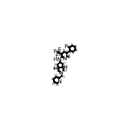 Fc1ccccc1-c1cc(C(F)(F)F)c(NC2C[C@@H]3CN(Cc4ccccn4)C[C@@H]3C2)nn1